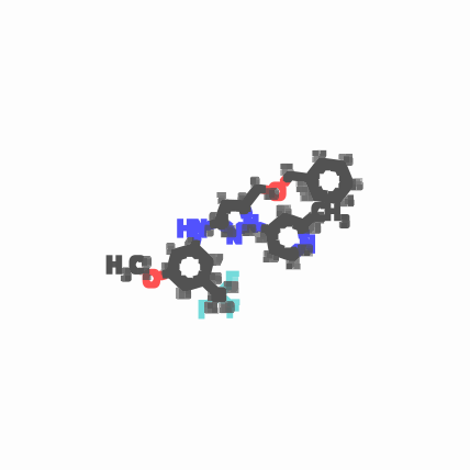 COc1cc(Nc2cc(COCc3ccccc3)n(-c3ccnc(C)c3)n2)cc(C(F)(F)F)c1